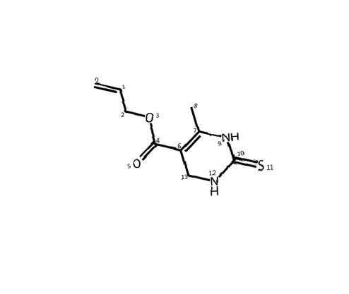 C=CCOC(=O)C1=C(C)NC(=S)NC1